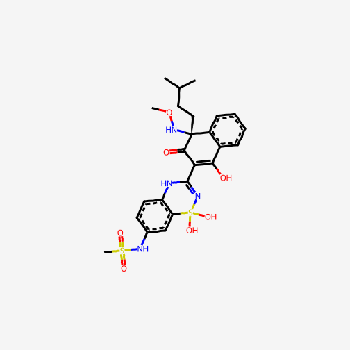 CON[C@@]1(CCC(C)C)C(=O)C(C2=NS(O)(O)c3cc(NS(C)(=O)=O)ccc3N2)=C(O)c2ccccc21